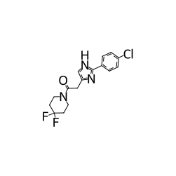 O=C(Cc1c[nH]c(-c2ccc(Cl)cc2)n1)N1CCC(F)(F)CC1